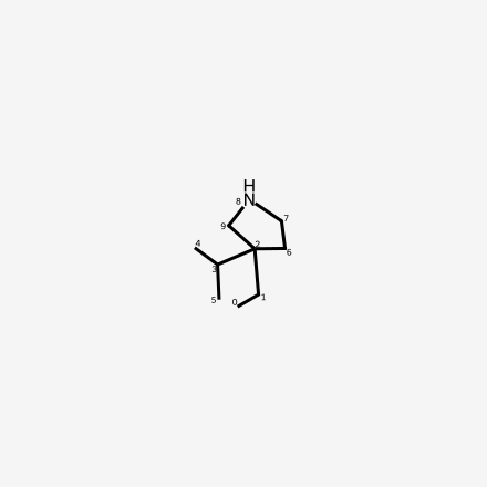 CCC1(C(C)C)CCNC1